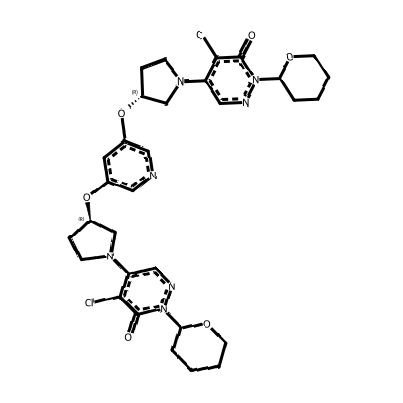 O=c1c(Cl)c(N2CC[C@@H](Oc3cncc(O[C@@H]4CCN(c5cnn(C6CCCCO6)c(=O)c5Cl)C4)c3)C2)cnn1C1CCCCO1